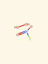 O=[N+]([O-])F.OO